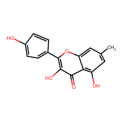 Cc1cc(O)c2c(=O)c(O)c(-c3ccc(O)cc3)oc2c1